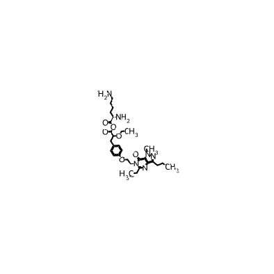 CCCc1nn(C)c2c(=O)n(CCOc3ccc(CC(OCC)C(=O)OC(=O)[C@@H](N)CCCCN)cc3)c(CC)nc12